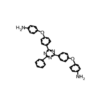 Nc1ccc(Oc2ccc(-c3nc(-c4ccccc4)nc(-c4ccc(Oc5ccc(N)cc5)cc4)n3)cc2)cc1